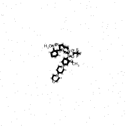 COc1cc(N2CCC(N3CCOCC3)CC2)ccc1N(OC(=O)C(F)(F)F)c1ncc2ccc(-c3ccccc3[S+](C)[O-])n2n1